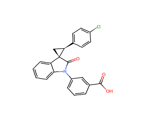 O=C(O)c1cccc(N2C(=O)[C@]3(C[C@H]3c3ccc(Cl)cc3)c3ccccc32)c1